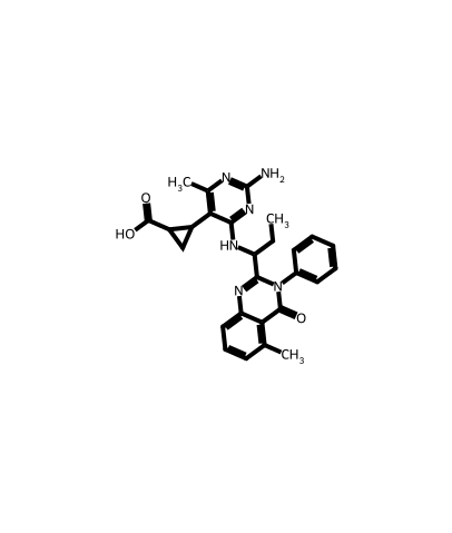 CCC(Nc1nc(N)nc(C)c1C1CC1C(=O)O)c1nc2cccc(C)c2c(=O)n1-c1ccccc1